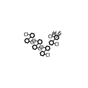 Clc1ccccc1-c1ccccc1Cl.Clc1ccccc1-c1ccccc1Cl.Clc1ccccc1-c1ccccc1Cl.Clc1ccccc1-c1ccccc1Cl.S.S